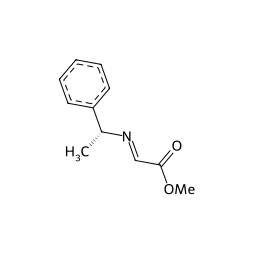 COC(=O)/C=N/[C@H](C)c1ccccc1